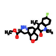 COC(=O)[C@@H](N)Cc1ccc(-c2c(C)c3cc(F)ccc3n(C)c2=O)c2c1COCC2